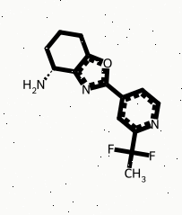 CC(F)(F)c1cc(-c2nc3c(o2)CCC[C@H]3N)ccn1